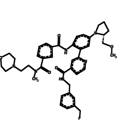 COC[C@H]1CCCN1c1ccc(NC(=O)c2cccc(C(=O)N(C)CCN3CCOCC3)c2)c(-c2cc(C(=O)NCc3cccc(CF)c3)ccn2)c1